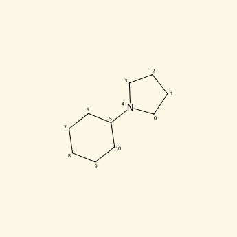 [C]1CCCN1C1CCCCC1